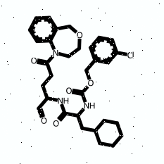 O=CC(CCC(=O)N1CCOCc2ccccc21)NC(=O)C(CC1CCCCC1)NC(=O)OCc1cccc(Cl)c1